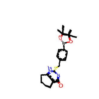 CC1(C)OB(c2ccc(CSc3nc(=O)c4c([nH]3)CCCC4)cc2)OC1(C)C